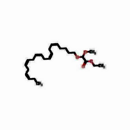 CC/C=C\C/C=C\C/C=C\C/C=C\C/C=C\CCCCOC(OC)C(=O)OCC